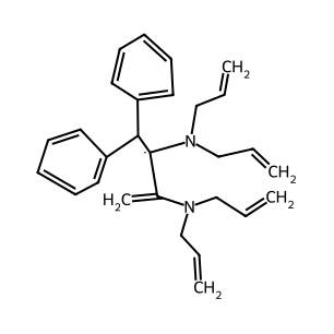 C=CCN(CC=C)[C](C(=C)N(CC=C)CC=C)C(c1ccccc1)c1ccccc1